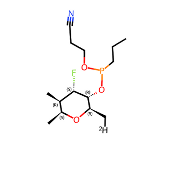 [2H]C[C@H]1O[C@@H](C)[C@@H](C)[C@H](F)[C@@H]1OP(CCC)OCCC#N